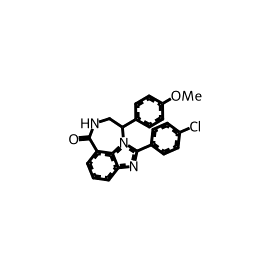 COc1ccc(C2CNC(=O)c3cccc4nc(-c5ccc(Cl)cc5)n2c34)cc1